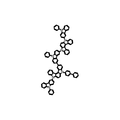 c1ccc(-c2ccc(-n3c4ccc(-c5ccc6c(c5)c5cc(-n7c8ccccc8c8c9c%10ccccc%10n(-c%10ccc%11c(c%10)c%10ccccc%10n%11-c%10ccccc%10)c9ccc87)ccc5n6-c5ccccc5)cc4c4c5c6ccccc6n(-c6ccc7c(c6)c6ccccc6n7-c6ccccc6)c5ccc43)cc2)cc1